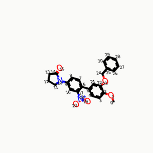 COc1ccc(-c2ccc(N3CCCC3=O)cc2[N+](=O)[O-])cc1OCc1ccccc1